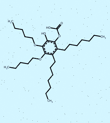 CCCCCCCc1c(CCCCCCC)c(OCCCCC)c(OCCCCC)c(O)c1OC(=O)O